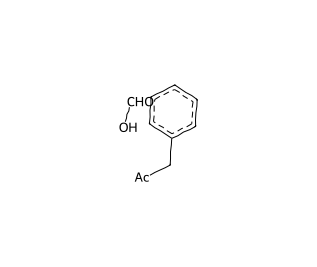 CC(=O)Cc1ccccc1.O=CO